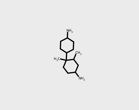 CC1CC(N)CCC1(C)C1CCC(N)CC1